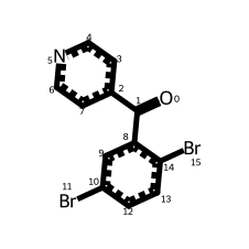 O=C(c1ccncc1)c1cc(Br)ccc1Br